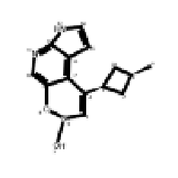 C[C@H]1C[C@@H](C2=CB(O)Oc3cnc4[nH]ccc4c32)C1